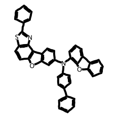 c1ccc(-c2ccc(N(c3ccc4c(c3)oc3ccc5sc(-c6ccccc6)nc5c34)c3cccc4c3oc3ccccc34)cc2)cc1